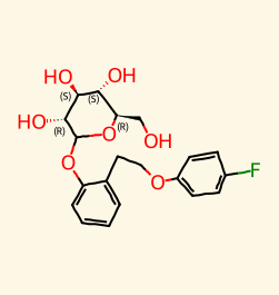 OC[C@H]1OC(Oc2ccccc2CCOc2ccc(F)cc2)[C@H](O)[C@@H](O)[C@@H]1O